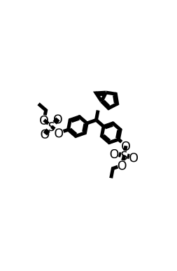 CCOS(=O)(=O)Oc1ccc(C(C)c2ccc(OS(=O)(=O)OCC)cc2)cc1.c1cc2cc-2c1